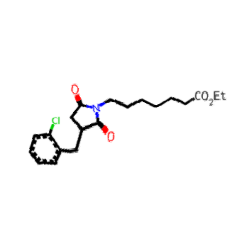 CCOC(=O)CCCCCCN1C(=O)CC(Cc2ccccc2Cl)C1=O